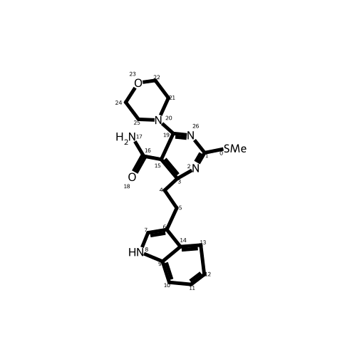 CSc1nc(CCc2c[nH]c3ccccc23)c(C(N)=O)c(N2CCOCC2)n1